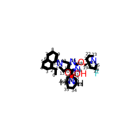 CCc1cccc2cccc(N3CCc4c(nc(OC[C@@]56CCCN5C[C@H](F)C6)nc4C4C[C@H]5CC[C@@H](C4)N5C(=O)O)C3)c12